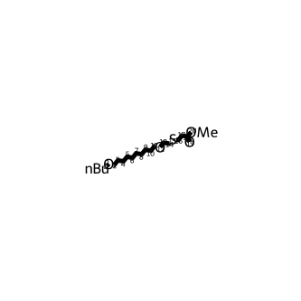 CCCCOCCCCCCCCCCOCCSCCC(=O)OC